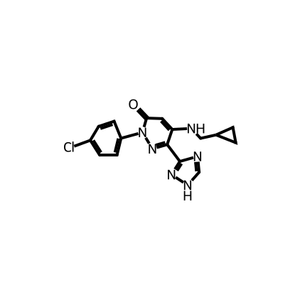 O=c1cc(NCC2CC2)c(-c2nc[nH]n2)nn1-c1ccc(Cl)cc1